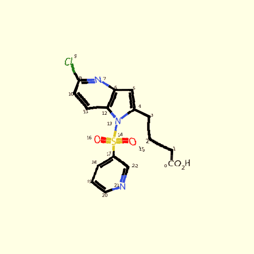 O=C(O)CCCc1cc2nc(Cl)ccc2n1S(=O)(=O)c1cccnc1